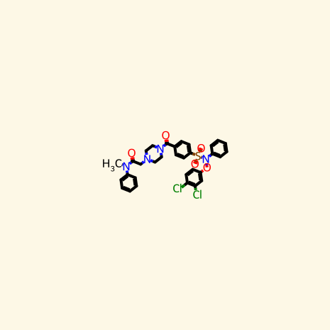 CN(C(=O)CN1CCN(C(=O)c2ccc(S(=O)(=O)N(Oc3ccc(Cl)c(Cl)c3)c3ccccc3)cc2)CC1)c1ccccc1